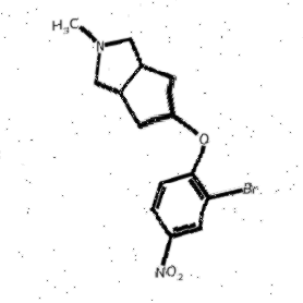 CN1CC2CC(Oc3ccc([N+](=O)[O-])cc3Br)CC2C1